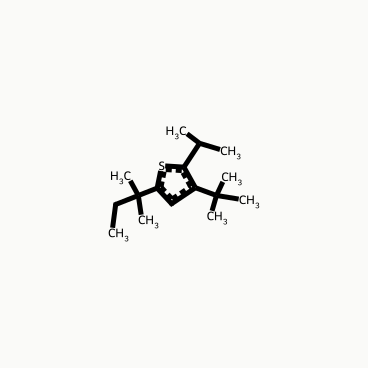 CCC(C)(C)c1cc(C(C)(C)C)c(C(C)C)s1